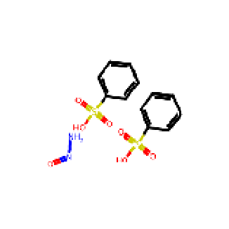 NN=O.O=S(=O)(O)c1ccccc1.O=S(=O)(O)c1ccccc1